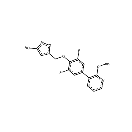 CCCOc1ncccc1-c1cc(F)c(OCc2cc(O)no2)c(F)c1